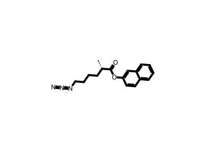 C[C@@H](CCCCN=[N+]=[N-])C(=O)Oc1ccc2ccccc2c1